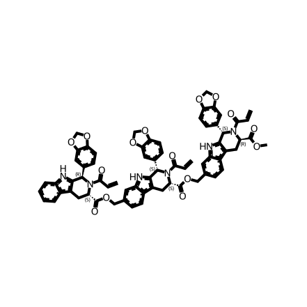 C=CC(=O)N1[C@@H](c2ccc3c(c2)OCO3)c2[nH]c3cc(COC(=O)[C@@H]4Cc5c([nH]c6cc(COC(=O)[C@@H]7Cc8c([nH]c9ccccc89)[C@@H](c8ccc9c(c8)OCO9)N7C(=O)C=C)ccc56)[C@H](c5ccc6c(c5)OCO6)N4C(=O)C=C)ccc3c2C[C@@H]1C(=O)OC